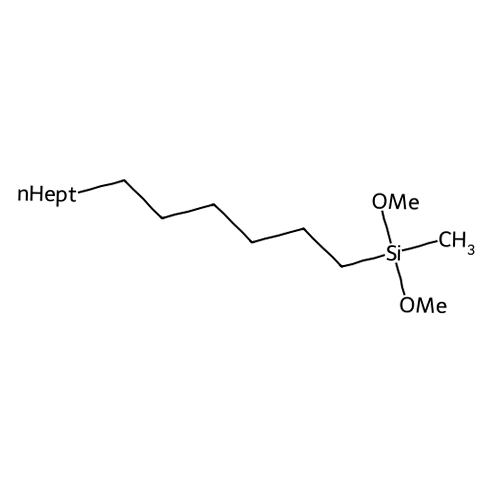 CCCCCCCCCCCCC[Si](C)(OC)OC